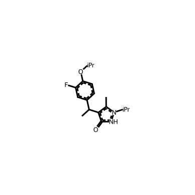 Cc1c(C(C)c2ccc(OC(C)C)c(F)c2)c(=O)[nH]n1C(C)C